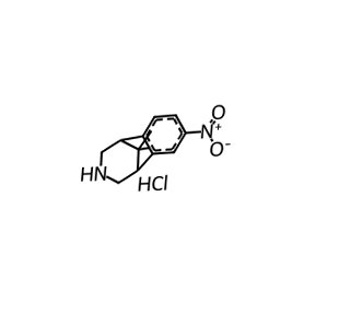 CC1(C)C2CNCC1c1cc([N+](=O)[O-])ccc12.Cl